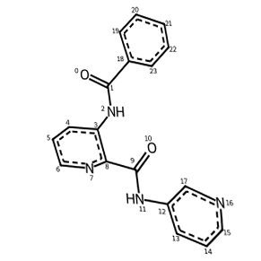 O=C(Nc1cccnc1C(=O)Nc1cccnc1)c1ccccc1